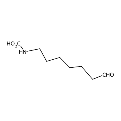 O=CCCCCCCNC(=O)O